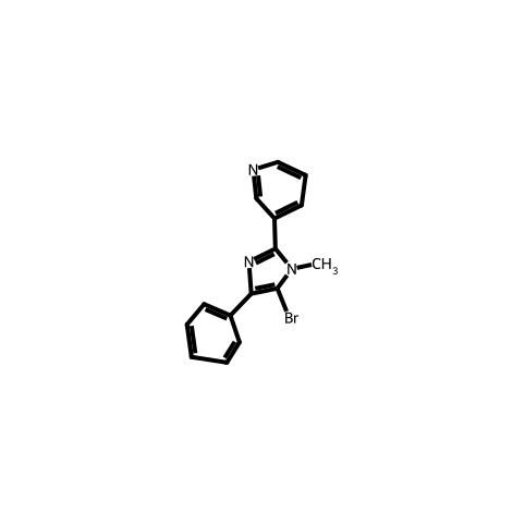 Cn1c(-c2cccnc2)nc(-c2ccccc2)c1Br